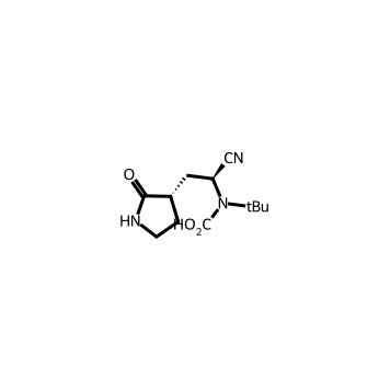 CC(C)(C)N(C(=O)O)[C@H](C#N)C[C@@H]1CCNC1=O